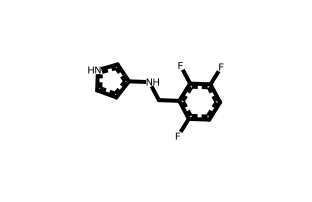 Fc1ccc(F)c(CNc2cc[nH]c2)c1F